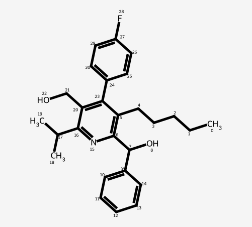 CCCCCc1c(C(O)c2ccccc2)nc(C(C)C)c(CO)c1-c1ccc(F)cc1